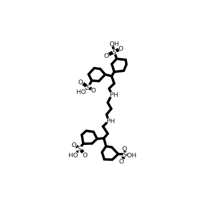 O=S(=O)(O)C1CCCC(C(CCPCCCPCCC(C2CCCC(S(=O)(=O)O)C2)C2CCCC(S(=O)(=O)O)C2)C2CCCC(S(=O)(=O)O)C2)C1